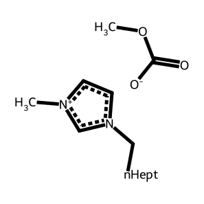 CCCCCCCCn1cc[n+](C)c1.COC(=O)[O-]